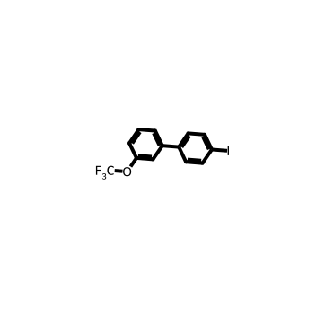 FC(F)(F)Oc1cccc(-c2c[c]c(I)cc2)c1